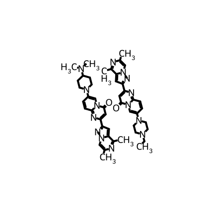 CCN1CCN(c2ccc3nc(-c4cc5c(C)nc(C)cn5n4)cc(=O)n3c2)CC1.Cc1cn2nc(-c3cc(=O)n4cc(N5CCC(N(C)C)CC5)ccc4n3)cc2c(C)n1